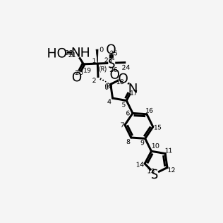 C[C@@](C[C@H]1CC(c2ccc(-c3ccsc3)cc2)=NO1)(C(=O)NO)S(C)(=O)=O